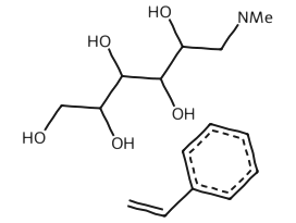 C=Cc1ccccc1.CNCC(O)C(O)C(O)C(O)CO